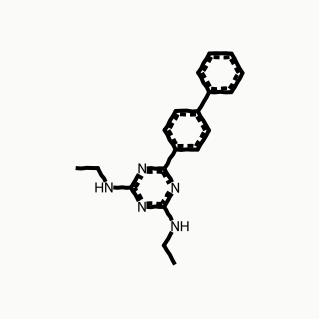 CCNc1nc(NCC)nc(-c2ccc(-c3ccccc3)cc2)n1